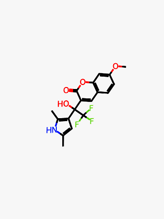 COc1ccc2cc(C(O)(c3cc(C)[nH]c3C)C(F)(F)F)c(=O)oc2c1